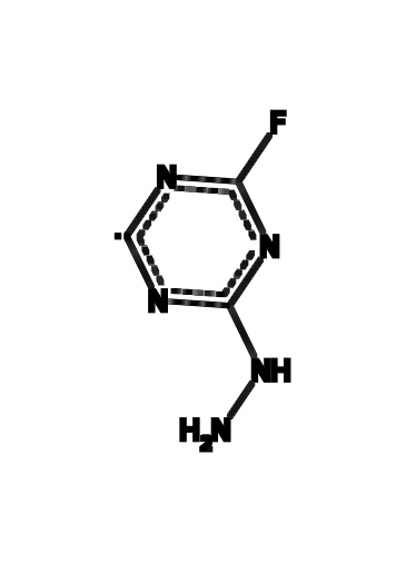 NNc1n[c]nc(F)n1